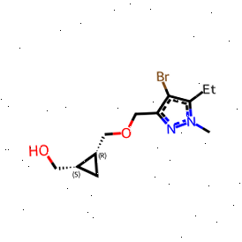 CCc1c(Br)c(COC[C@@H]2C[C@@H]2CO)nn1C